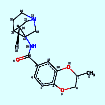 CC1COc2ccc(C(=O)N[C@H]3CN4CCC3CC4)cc2O1